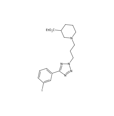 CCOC(=O)C1CCCN(CCCn2nnc(-c3cccc(I)c3)n2)C1